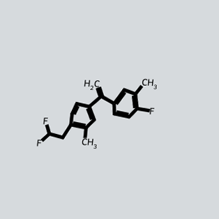 C=C(c1ccc(F)c(C)c1)c1ccc(CC(F)F)c(C)c1